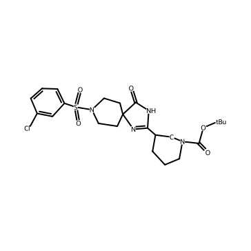 CC(C)(C)OC(=O)N1CCCC(C2=NC3(CCN(S(=O)(=O)c4cccc(Cl)c4)CC3)C(=O)N2)C1